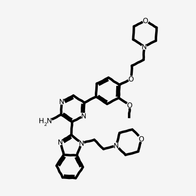 COc1cc(-c2cnc(N)c(-c3nc4ccccc4n3CCN3CCOCC3)n2)ccc1OCCN1CCOCC1